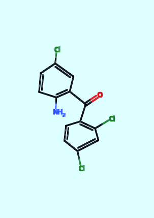 Nc1ccc(Cl)cc1C(=O)c1ccc(Cl)cc1Cl